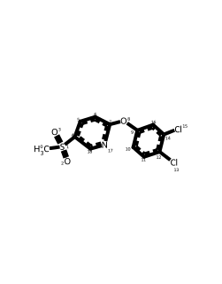 CS(=O)(=O)c1ccc(Oc2ccc(Cl)c(Cl)c2)nc1